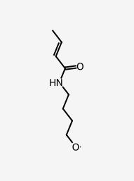 CC=CC(=O)NCCCC[O]